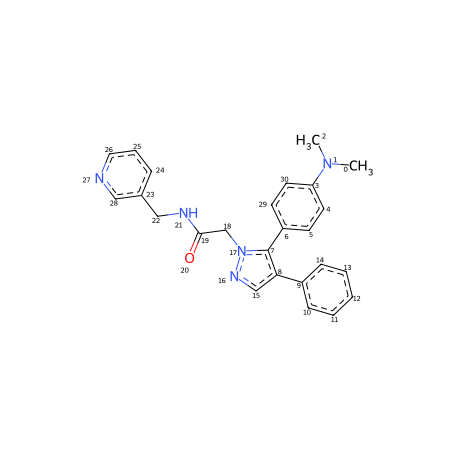 CN(C)c1ccc(-c2c(-c3ccccc3)cnn2CC(=O)NCc2cccnc2)cc1